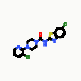 O=C(Nc1nc2ccc(Cl)cc2s1)N1CCN(c2ncccc2Cl)CC1